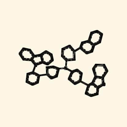 c1cc(-c2ccc3ccccc3c2)cc(N(c2ccc(-c3ccccc3-n3c4ccccc4c4ccccc43)cc2)c2ccc(-c3cccc4oc5ccccc5c34)cc2)c1